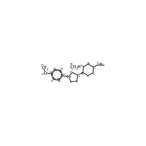 CCCCC1CCC([C@H]2CCN(c3ccc(OC(F)(F)F)cc3)[C@@H]2C(=O)O)CC1